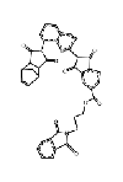 O=C(OCCCN1C(=O)c2ccccc2C1=O)c1ccc2c(c1)C(=O)C(c1ccc3cccc(N4C(=O)C5C6C=CC(C6)C5C4=O)c3n1)C2=O